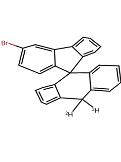 [2H]C1([2H])c2ccccc2C2(c3ccccc3-c3cc(Br)ccc32)c2ccccc21